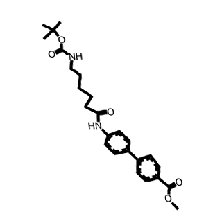 COC(=O)c1ccc(-c2ccc(NC(=O)CCCCCNC(=O)OC(C)(C)C)cc2)cc1